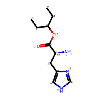 CCC(CC)OC(=O)[C@@H](N)Cc1c[nH]cn1